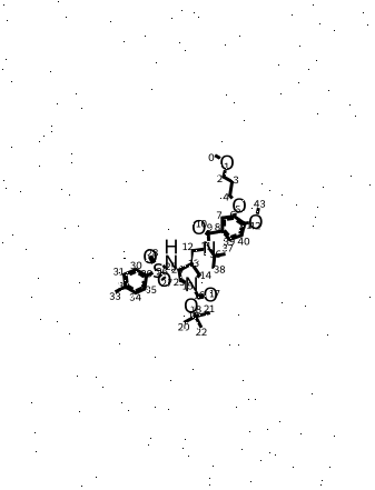 COCCCOc1cc(C(=O)N(C[C@H]2CN(C(=O)OC(C)(C)C)C[C@@H]2NS(=O)(=O)c2ccc(C)cc2)C(C)C)ccc1OC